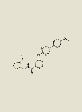 CCN1CCCC1CNC(=O)c1cccc(Nc2ncc(-c3ccc(OC)cc3)cn2)c1